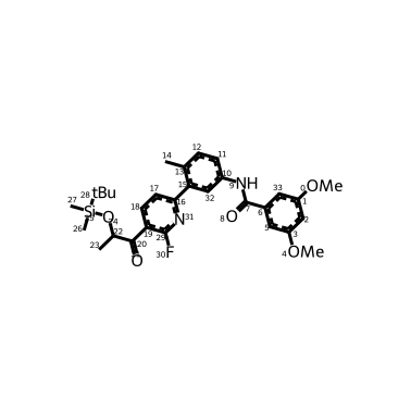 COc1cc(OC)cc(C(=O)Nc2ccc(C)c(-c3ccc(C(=O)C(C)O[Si](C)(C)C(C)(C)C)c(F)n3)c2)c1